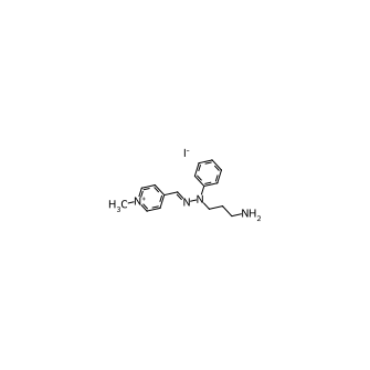 C[n+]1ccc(/C=N/N(CCCN)c2ccccc2)cc1.[I-]